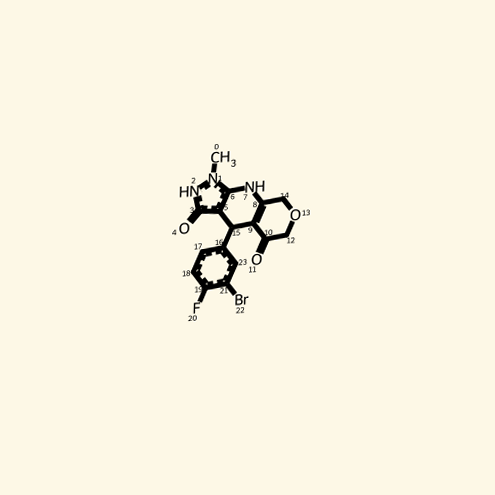 Cn1[nH]c(=O)c2c1NC1=C(C(=O)COC1)C2c1ccc(F)c(Br)c1